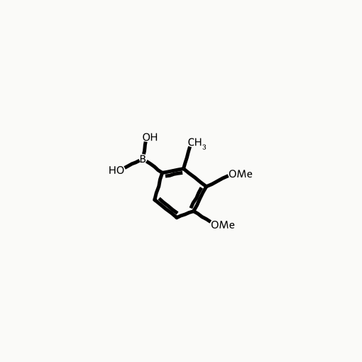 COc1ccc(B(O)O)c(C)c1OC